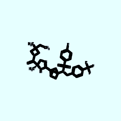 CCC1(C)CN(C(=O)[C@@]2(C)CN=C(C3CC4(N(Cc5ccc(C(F)(F)F)cc5)S(=O)(=O)c5ccc(F)cc5)CC3C4)N2)C1